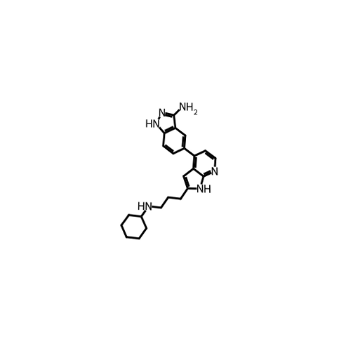 Nc1n[nH]c2ccc(-c3ccnc4[nH]c(CCCNC5CCCCC5)cc34)cc12